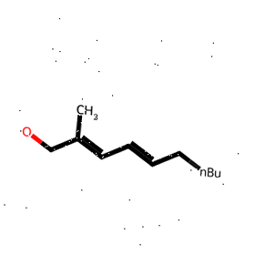 CCCCC/C=C/C=C(\C)C[O]